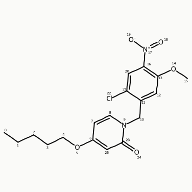 CCCCCOc1ccn(Cc2cc(OC)c([N+](=O)[O-])cc2Cl)c(=O)c1